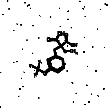 COC(Cc1cccc(OC(F)(F)F)c1)(C(=O)O)C(=O)O